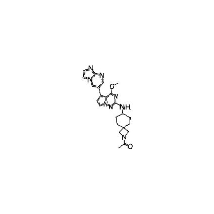 COc1nc(NC2CCC3(CC2)CN(C(C)=O)C3)nn2ccc(-c3cnc4nccn4c3)c12